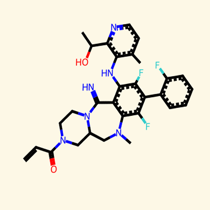 C=CC(=O)N1CCN2C(=N)c3c(Nc4c(C)ccnc4C(C)O)c(F)c(-c4ccccc4F)c(F)c3N(C)CC2C1